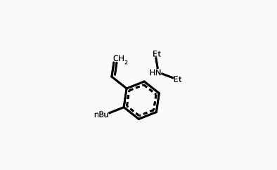 C=Cc1ccccc1CCCC.CCNCC